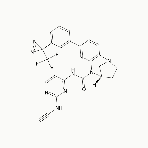 C#CNc1nccc(NC(=O)N2c3nc(-c4cccc(C5(C(F)(F)F)N=N5)c4)ccc3N3CC[C@H]2C3)n1